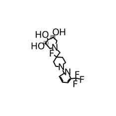 OC1[C@H](O)CN(CC2(F)CCN(c3cccc(C(F)(F)F)n3)CC2)C[C@@H]1O